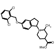 COC(=O)C1CCN(C2CCc3cc(OCc4c(Cl)cccc4Cl)ccc32)C(C)C1